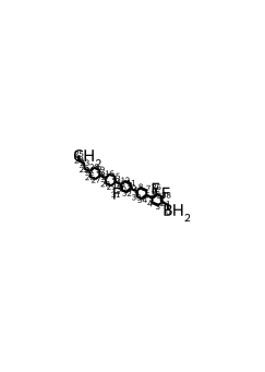 BCc1ccc(-c2ccc(-c3ccc(C4CCC(C5CCC(CCC=C)CC5)CC4)c(F)c3)cc2)c(F)c1F